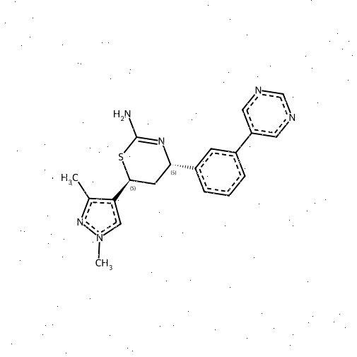 Cc1nn(C)cc1[C@@H]1C[C@@H](c2cccc(-c3cncnc3)c2)N=C(N)S1